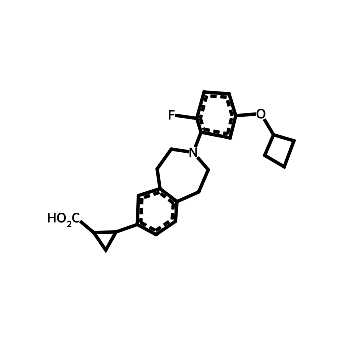 O=C(O)C1CC1c1ccc2c(c1)CCN(c1cc(OC3CCC3)ccc1F)CC2